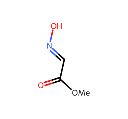 COC(=O)C=NO